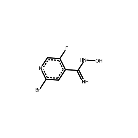 N=C(NO)c1cc(Br)ncc1F